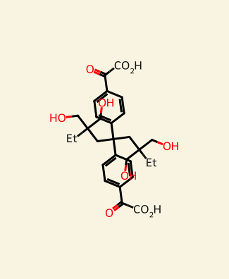 CCC(CO)(CO)CC(CC(CC)(CO)CO)(c1ccc(C(=O)C(=O)O)cc1)c1ccc(C(=O)C(=O)O)cc1